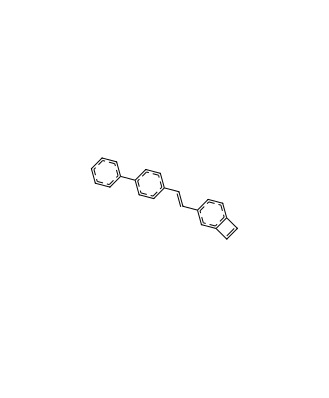 C(=Cc1ccc2c(c1)C=C2)c1ccc(-c2ccccc2)cc1